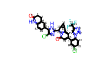 O=C1CCc2cc(-c3[nH]c(C4C5CC5c5cc(-c6cc(Cl)ccc6-n6cc(C(F)(F)F)nn6)cc(=O)n54)nc3Cl)ccc2N1